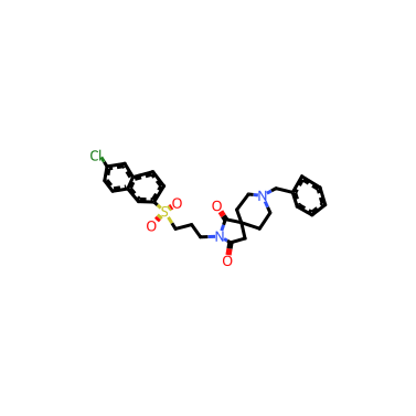 O=C1CC2(CCN(Cc3ccccc3)CC2)C(=O)N1CCCS(=O)(=O)c1ccc2cc(Cl)ccc2c1